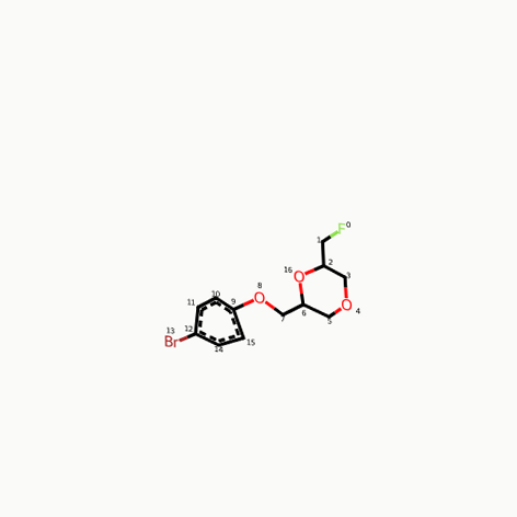 FCC1COCC(COc2ccc(Br)cc2)O1